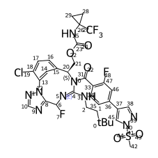 CC(C)(C)CCN/C1=N\C(F)c2ncnn2-c2cc(ccc2Cl)[C@@H](COC(=O)NC2(C(F)(F)F)CC2)N1C(=O)c1ccc(-c2cnn(S(C)(=O)=O)c2)cc1F